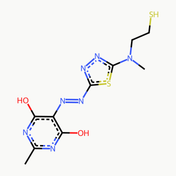 Cc1nc(O)c(/N=N/c2nnc(N(C)CCS)s2)c(O)n1